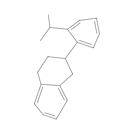 CC(C)c1ccccc1C1CCc2ccccc2C1